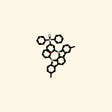 Cc1ccc2c(c1)c1ccc3c4cc(C)ccc4n(-c4cccc(P(=O)(c5ccccc5)c5ccccc5)c4)c3c1n2-c1ccccc1